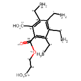 BCc1c(CB)c(CB)c(C(=O)OCCS(=O)(=O)O)c(C(=O)O)c1CB